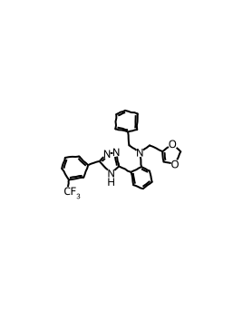 FC(F)(F)c1cccc(-c2nnc(-c3ccccc3N(CC3=COCO3)Cc3ccccc3)[nH]2)c1